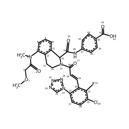 COCC(=O)N(C)c1cccc2c1CCN(C(=O)C=Cc1c(-n3cnnn3)ccc(Cl)c1F)C2C(=O)Nc1ccc(C(=O)O)cc1